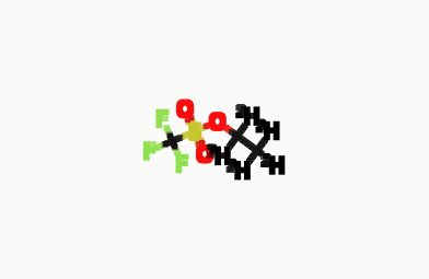 [2H]C([2H])([2H])C([2H])([2H])OS(=O)(=O)C(F)(F)F